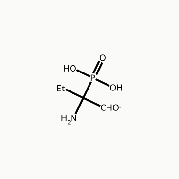 CCC(N)([C]=O)P(=O)(O)O